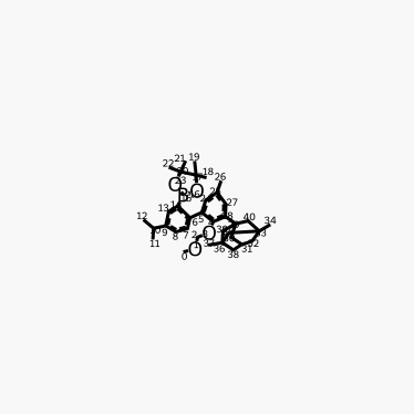 COCOc1c(-c2ccc(C(C)C)cc2B2OC(C)(C)C(C)(C)O2)cc(C)cc1C12CC3CC(C)(CC(C)(C3)C1)C2